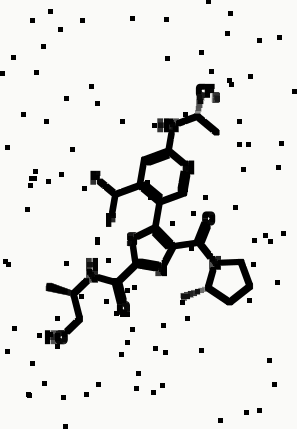 C[C@H](CO)NC(=O)c1nc(C(=O)N2CCC[C@@H]2C)c(-c2cnc(N[C@@H](C)C(F)(F)F)cc2C(F)F)s1